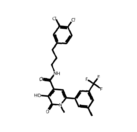 Cc1cc(-c2cc(C(=O)NCCCc3ccc(Cl)c(Cl)c3)c(O)c(=O)n2C)cc(C(F)(F)F)c1